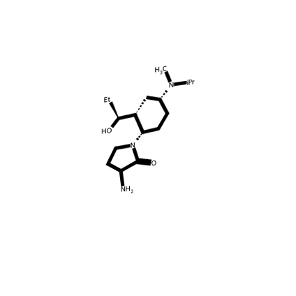 CC[C@H](O)[C@@H]1C[C@H](N(C)C(C)C)CC[C@@H]1N1CCC(N)C1=O